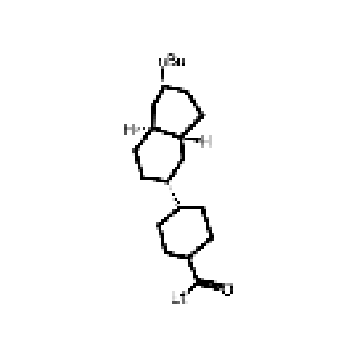 CCCC[C@H]1CC[C@@H]2C[C@H](C3CCC(C(=O)CC)CC3)CC[C@H]2C1